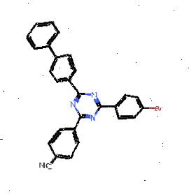 N#Cc1ccc(-c2nc(-c3ccc(Br)cc3)nc(-c3ccc(-c4ccccc4)cc3)n2)cc1